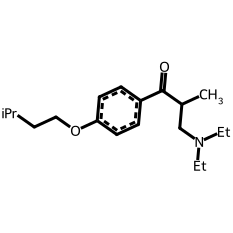 CCN(CC)CC(C)C(=O)c1ccc(OCCC(C)C)cc1